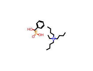 CCCC[N+](CC)(CCCC)CCCC.O=[PH](O)C(O)c1ccccc1